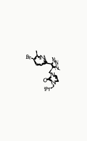 Cc1nc(-c2nnn(C)c2Cn2ccn(CC(C)C)c2=O)ccc1Br